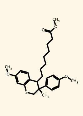 COC(=O)CCCCCCCC1c2ccc(OC)cc2SCC1(C)c1ccc(OC)cc1